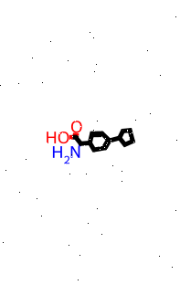 N[C@@H](C(=O)O)C1C=CC(C2CCCC2)=CC1